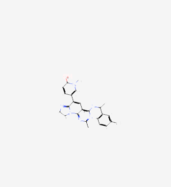 Cc1nc(NC(C)c2cccc(C(F)(F)F)c2)c2c(n1)N1CCN=C1C(C1=CN(C)C(O)C=C1)=C2